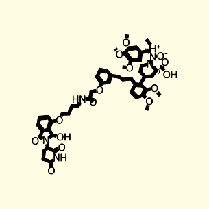 CC[C@@H](c1cc(OC)c(OC)c(OC)c1)[NH+]([O-])N1CCC(c2c(CCCc3cccc(OCC(=O)NCCCCOc4cccc5c4C(O)N(C4CCC(=O)NC4=O)C5=O)c3)ccc(OC)c2OC)C[C@H]1C(=O)O